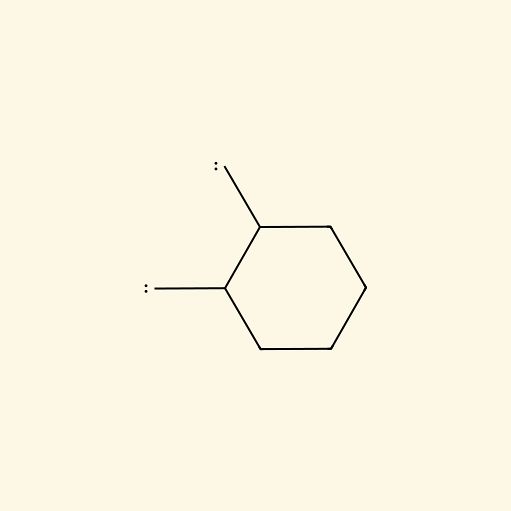 [CH]C1CCCCC1[CH]